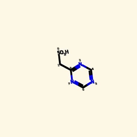 O=S(=O)(O)Cc1ncncn1